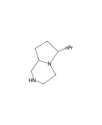 CCCC1CCC2CNCCN12